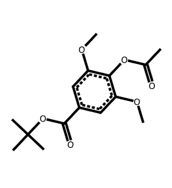 COc1cc(C(=O)OC(C)(C)C)cc(OC)c1OC(C)=O